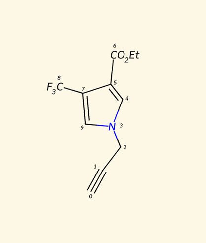 C#CCn1cc(C(=O)OCC)c(C(F)(F)F)c1